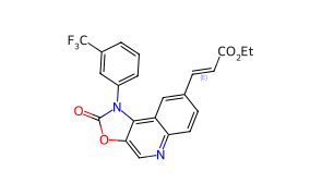 CCOC(=O)/C=C/c1ccc2ncc3oc(=O)n(-c4cccc(C(F)(F)F)c4)c3c2c1